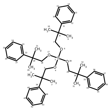 CC(C)(C[O][Ti]([O]CC(C)(C)c1ccccc1)([O]CC(C)(C)c1ccccc1)[O]CC(C)(C)c1ccccc1)c1ccccc1